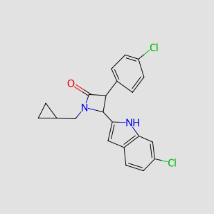 O=C1C(c2ccc(Cl)cc2)C(c2cc3ccc(Cl)cc3[nH]2)N1CC1CC1